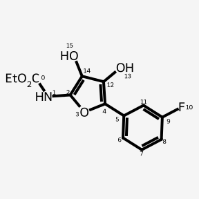 CCOC(=O)Nc1oc(-c2cccc(F)c2)c(O)c1O